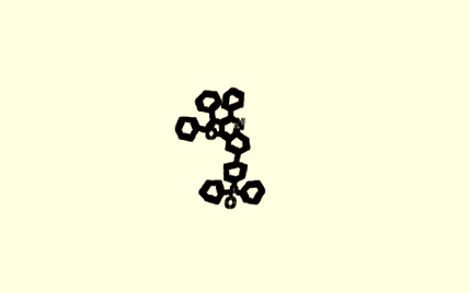 O=P(c1ccccc1)(c1ccccc1)c1ccc(-c2ccc3nc(-c4ccccc4)c4c(-c5ccccc5)c(-c5ccccc5)oc4c3c2)cc1